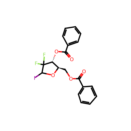 O=C(OC[C@H]1OC(I)C(F)(F)[C@@H]1OC(=O)c1ccccc1)c1ccccc1